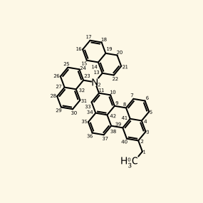 CCc1cc2cccc3c4cc(N(C5=C6C=CC=CC6CC=C5)c5cccc6ccccc56)cc5cccc(c(c1)c23)c54